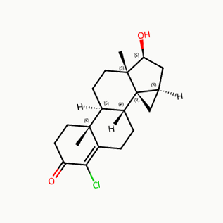 C[C@]12CCC(=O)C(Cl)=C1CC[C@@H]1[C@@H]2CC[C@]2(C)[C@@H](O)C[C@H]3C[C@@]312